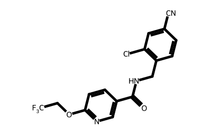 N#Cc1ccc(CNC(=O)c2ccc(OCC(F)(F)F)nc2)c(Cl)c1